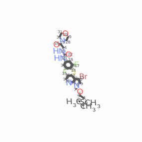 C[Si](C)(C)CCOCn1cc(Br)c2c(Sc3c(F)cc(NC(=O)NCC(=O)N4CCOCC4)cc3F)ccnc21